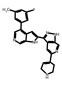 Cc1cc(F)cc(-c2cncc3[nH]c(-c4n[nH]c5cnc(C6=CCNCC6)cc45)cc23)c1